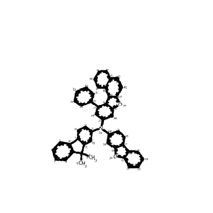 CC1(C)c2ccccc2-c2ccc(N(c3ccc4c(c3)oc3ccccc34)c3cc(-c4ccccc4)c4c(c3)oc3ccc5ccccc5c34)cc21